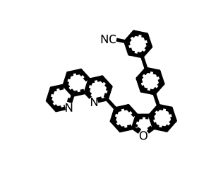 N#Cc1cccc(-c2ccc(-c3cccc4oc5ccc(-c6ccc7ccc8cccnc8c7n6)cc5c34)cc2)c1